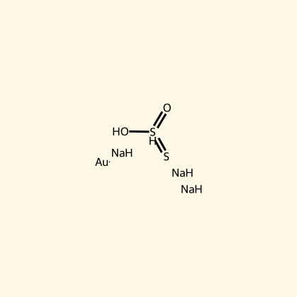 O=[SH](O)=S.[Au].[NaH].[NaH].[NaH]